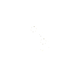 CC(Cc1ccccc1)Nc1ccc(C[C@@H](C)N)cc1